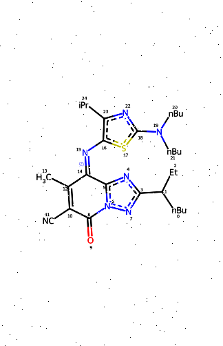 CCCCC(CC)c1nc2n(n1)C(=O)C(C#N)=C(C)/C2=N/c1sc(N(CCCC)CCCC)nc1C(C)C